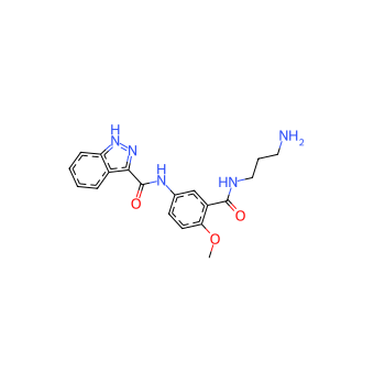 COc1ccc(NC(=O)c2n[nH]c3ccccc23)cc1C(=O)NCCCN